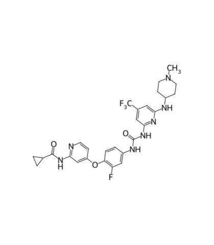 CN1CCC(Nc2cc(C(F)(F)F)cc(NC(=O)Nc3ccc(Oc4ccnc(NC(=O)C5CC5)c4)c(F)c3)n2)CC1